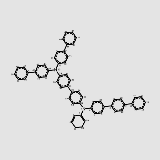 C1=CC(N(c2ccc(-c3ccc(-c4ccccc4)cc3)cc2)c2ccc(-c3ccc(N(c4ccc(-c5ccccc5)cc4)c4ccc(-c5ccccc5)cc4)cc3)cc2)=CCC1